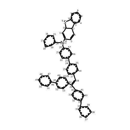 C1=CC2c3ccccc3SC2C=C1N(c1ccccc1)c1ccc(-c2ccc(C=C(c3ccc(-c4ccccc4)cc3)c3ccc(-c4ccccc4)cc3)cc2)cc1